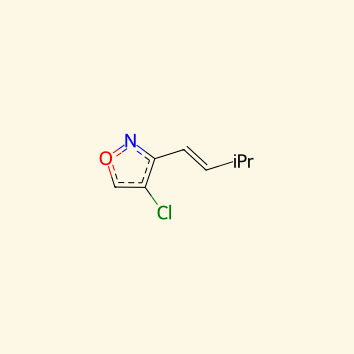 CC(C)/C=C/c1nocc1Cl